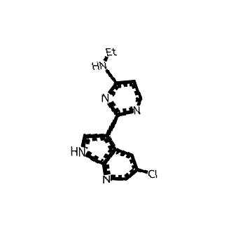 CCNc1ccnc(-c2c[nH]c3ncc(Cl)cc23)n1